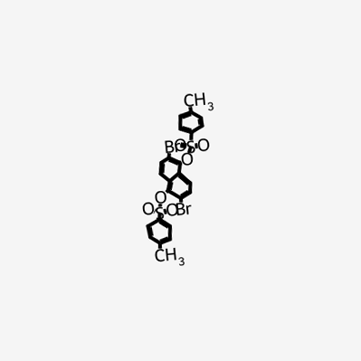 Cc1ccc(S(=O)(=O)Oc2c(Br)ccc3c(OS(=O)(=O)c4ccc(C)cc4)c(Br)ccc23)cc1